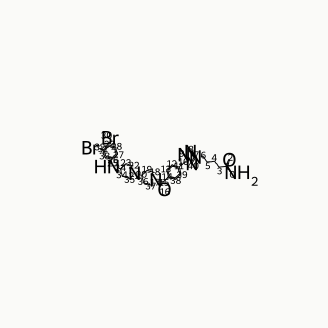 NC(=O)CCCCn1nnc(-c2ccc(C(=O)N3CCC(N4CCC(Nc5ccc(Br)c(Br)c5)CC4)CC3)cc2)n1